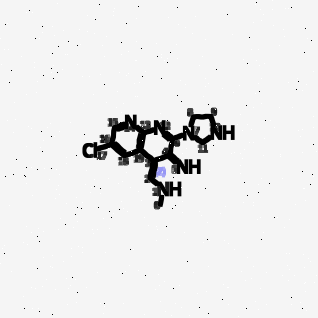 CN/C=C1\C(=N)C(N2CCNC2)=Nc2ncc(Cl)cc21